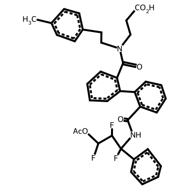 CC(=O)OC(F)C(F)C(F)(NC(=O)c1ccccc1-c1ccccc1C(=O)N(CCC(=O)O)CCc1ccc(C)cc1)c1ccccc1